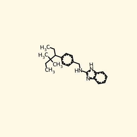 CCC(c1ccc(CNc2nc3ccccc3[nH]2)cc1)C(C)(C)CC